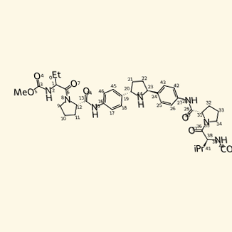 CCC(NC(=O)OC)C(=O)N1CCC[C@H]1C(=O)Nc1ccc([C@@H]2CC[C@@H](c3ccc(NC(=O)[C@@H]4CCCN4C(=O)[C@@H](NC(=O)O)C(C)C)cc3)N2)cc1